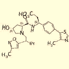 Cc1cc(C(CN2C[C@H](O)C[C@H]2C(=O)N[C@@H](CC(=O)O)c2ccc(-c3scnc3C)cc2)C(C)C)on1